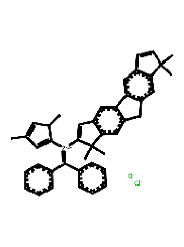 CC1=CC(C)[C]([Zr+2]([C]2=Cc3cc4c(cc3C2(C)C)Cc2cc3c(cc2-4)C=CC3(C)C)=[C](c2ccccc2)c2ccccc2)=C1.[Cl-].[Cl-]